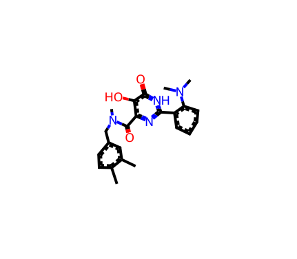 Cc1ccc(CN(C)C(=O)c2nc(-c3ccccc3N(C)C)[nH]c(=O)c2O)cc1C